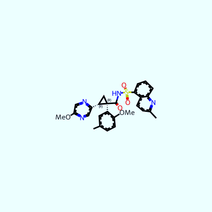 COc1cnc([C@@H]2C[C@]2(C(=O)NS(=O)(=O)c2cccc3nc(C)ccc23)c2cc(C)ccc2OC)cn1